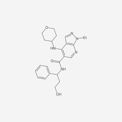 CCn1ncc2c(NC3CCOCC3)c(C(=O)NC(CCO)c3ccccc3)cnc21